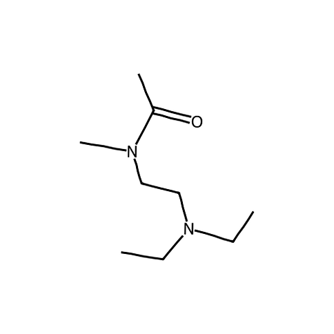 CCN(CC)CCN(C)C(C)=O